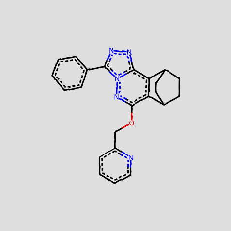 c1ccc(-c2nnc3c4c(c(OCc5ccccn5)nn23)C2CCC4CC2)cc1